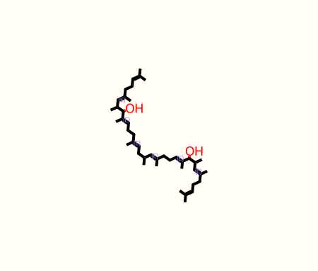 CC(C)=CCC/C(C)=C/C(C)C(O)/C(C)=C/CC/C(C)=C/CC(C)/C=C(\C)CC/C=C(\C)C(O)C(C)/C=C(\C)CCC=C(C)C